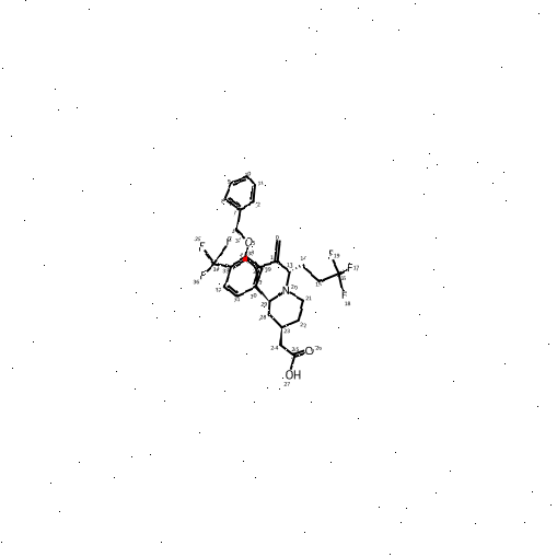 C=C(C(C)COCc1ccccc1)[C@H](CCC(F)(F)F)N1CC[C@@H](CC(=O)O)C[C@H]1c1ccc(C(F)(F)F)cc1